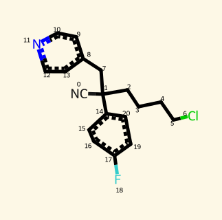 N#CC(CCCCCl)(Cc1ccncc1)c1ccc(F)cc1